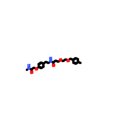 CNC(=O)COc1ccc(CCNC(=O)CCOCCOCc2ccc(C)cc2)cc1